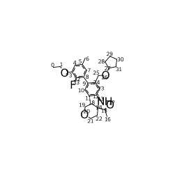 CCOc1cc(C)cc(-c2ccc(NC3(C(C)=O)CCOCC3)cc2COC2CCCC2)c1F